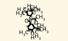 CC(=O)N(C(=O)c1cc(C)c(O)c(C(C)(C)C)c1)C1CC(C)(C)NC(C)(C)C1